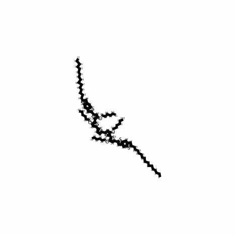 CCCCCCCCCCCCCCCCc1cc2cc3sc(-c4cc(OCCCCCC)c(-c5sc(-c6ccc(-c7cc(OCCCCCC)c(-c8sc(-c9cc%10cc%11sc(CCCCCCCCCCCCCCCC)cc%11cc%10s9)cc8OCCCCCC)s7)s6)cc5OCCCCCC)s4)cc3cc2s1